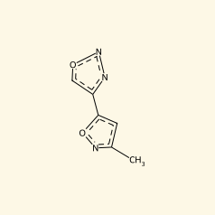 Cc1cc(-c2conn2)on1